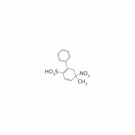 CC1([N+](=O)[O-])C=CC(S(=O)(=O)O)=C(c2ccccc2)C1